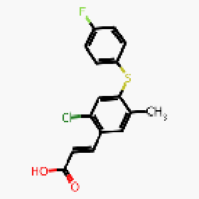 Cc1cc(/C=C/C(=O)O)c(Cl)cc1Sc1ccc(F)cc1